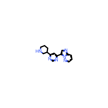 c1cnn2c(-c3cc(C4CCCNC4)ncn3)cnc2c1